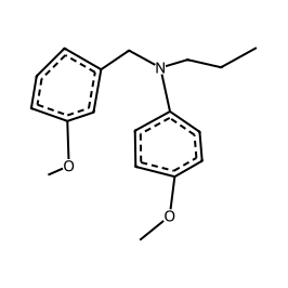 CCCN(Cc1cccc(OC)c1)c1ccc(OC)cc1